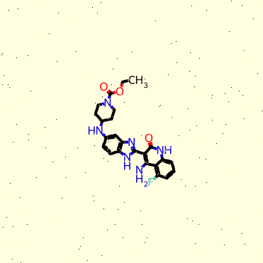 CCOC(=O)N1CCC(Nc2ccc3[nH]c(-c4c(N)c5c(F)cccc5[nH]c4=O)nc3c2)CC1